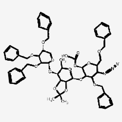 CC1O[C@@H](OC2C(OCc3ccccc3)C(N=[N+]=[N-])C(COCc3ccccc3)O[C@@H]2OC(=O)O)C2OC(C)(C)OC2[C@H]1O[C@@H]1OC[C@@H](OCc2ccccc2)C(OCc2ccccc2)C1OCc1ccccc1